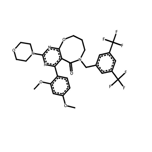 COc1ccc(-c2nc(N3CCOCC3)nc3c2C(=O)N(Cc2cc(C(F)(F)F)cc(C(F)(F)F)c2)CCCO3)c(OC)c1